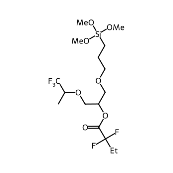 CCC(F)(F)C(=O)OC(COCCC[Si](OC)(OC)OC)COC(C)C(F)(F)F